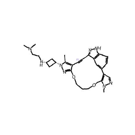 Cc1c2c(nn1[C@H]1C[C@@H](NCCN(C)C)C1)OCCCOc1c(cnn1C)-c1ccc3[nH]nc(c3c1)/C=C/2